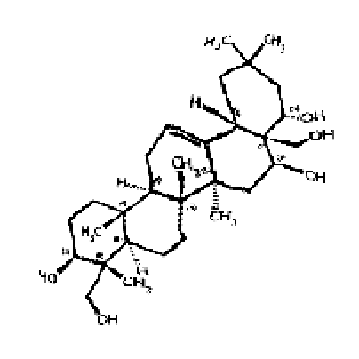 CC1(C)C[C@H](O)[C@]2(CO)[C@@H](O)C[C@]3(C)C(=CC[C@@H]4[C@@]5(C)CC[C@H](O)[C@@](C)(CO)[C@@H]5CC[C@]43C)[C@@H]2C1